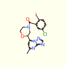 Cc1cc(C2CN(C(=O)c3cc(Cl)ccc3I)CCO2)n2ncnc2n1